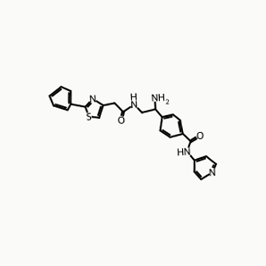 NC(CNC(=O)Cc1csc(-c2ccccc2)n1)c1ccc(C(=O)Nc2ccncc2)cc1